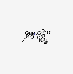 CCCCCS(=O)(=O)NC(=O)/C(C)=C/c1ccc(OCCOC)cc1Oc1ncc(C(F)(F)F)cc1Cl